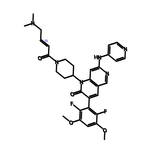 COc1cc(OC)c(F)c(-c2cc3cnc(Nc4ccncc4)cc3n(C3CCN(C(=O)/C=C/CN(C)C)CC3)c2=O)c1F